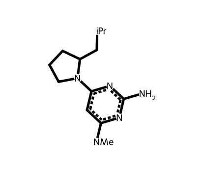 CNc1cc(N2CCCC2CC(C)C)nc(N)n1